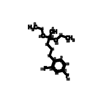 CCO[Si](O)(CCCc1ccc(F)cc1F)OCC